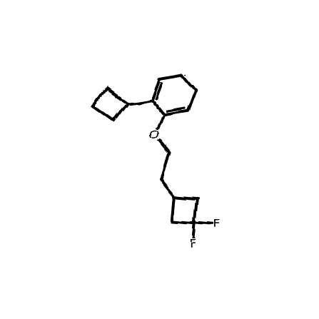 FC1(F)CC(CCOC2=CC[CH]C=C2C2CCC2)C1